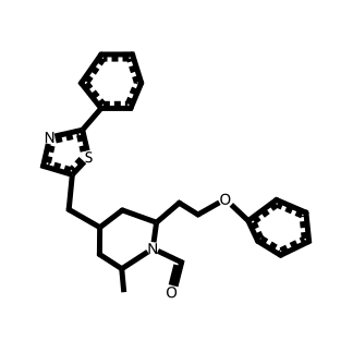 CC1CC(Cc2cnc(-c3ccccc3)s2)CC(CCOc2ccccc2)N1C=O